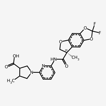 CC1CN(c2cccc(NC(=O)[C@@]3(C)COc4cc5c(cc43)OC(F)(F)O5)n2)CC1C(=O)O